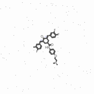 Cc1cc(/C=C2\CC(C(=O)Nc3ccc(OCCN(C)C)cc3)C/C(=C\c3ccc(F)c(F)c3)C2=O)ccc1F